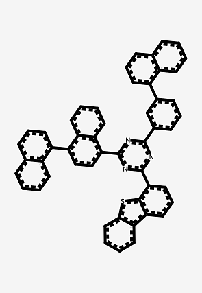 c1cc(-c2nc(-c3ccc(-c4cccc5ccccc45)c4ccccc34)nc(-c3cccc4c3sc3ccccc34)n2)cc(-c2cccc3ccccc23)c1